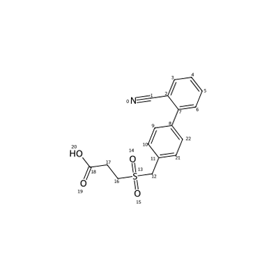 N#Cc1ccccc1-c1ccc(CS(=O)(=O)CCC(=O)O)cc1